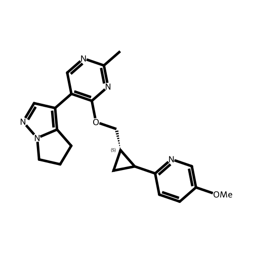 COc1ccc(C2C[C@@H]2COc2nc(C)ncc2-c2cnn3c2CCC3)nc1